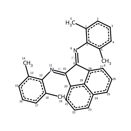 Cc1cccc(C)c1/N=C1/C(=N/c2c(C)cccc2C)c2cccc3cccc1c23